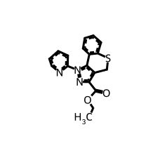 CCOC(=O)c1nn(-c2ccccn2)c2c1CSc1ccccc1-2